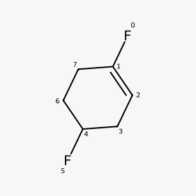 FC1=CCC(F)CC1